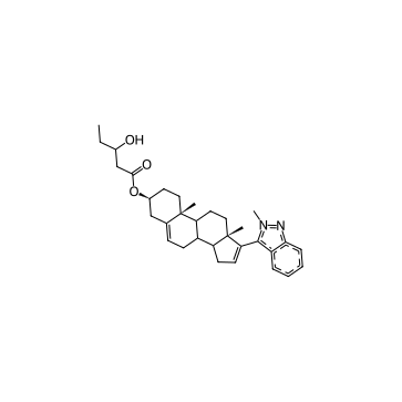 CCC(O)CC(=O)O[C@H]1CC[C@@]2(C)C(=CCC3C2CC[C@]2(C)C(c4c5ccccc5nn4C)=CCC32)C1